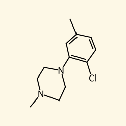 Cc1ccc(Cl)c(N2CCN(C)CC2)c1